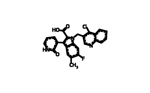 Cc1cc2c(-c3ccc[nH]c3=O)c(C(=O)O)n(Cc3cnc4ccccc4c3Cl)c2cc1F